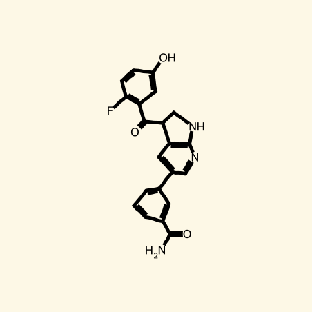 NC(=O)c1cccc(-c2cnc3c(c2)C(C(=O)c2cc(O)ccc2F)CN3)c1